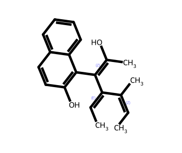 C\C=C(C)/C(=C\C)C(=C(\C)O)/c1c(O)ccc2ccccc12